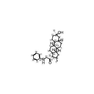 C[C@@H]1C[C@H]2[C@@H]3CC[C@H]4C[C@](C)(O)CC[C@]4(C)[C@H]3CC[C@]2(C)[C@H]1C(=O)CNc1ccccc1